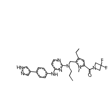 CCCN(Cc1c(CC)cc(C(=O)N2CC(F)(F)C2)n1C)c1nccc(Nc2ccc(-c3cn[nH]c3)cc2)n1